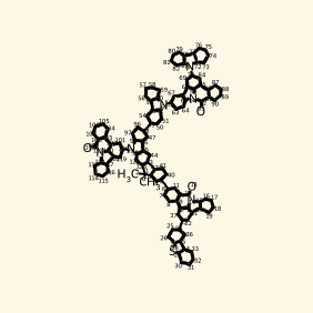 CC1(C)c2cc(-c3ccc4c(c3)c(=O)n3c5ccccc5c5cc(-c6ccc7sc8ccccc8c7c6)cc4c53)ccc2-c2cc3c4cc(-c5ccc6c(c5)c5ccccc5n6-c5ccc6c(c5)c5cc(-n7c8ccccc8c8ccccc87)cc7c8ccccc8c(=O)n6c75)ccc4n(-c4cc5c6ccccc6c(=O)n6c7ccccc7c(c4)c56)c3cc21